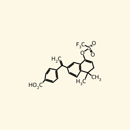 C=C(c1ccc(C(=O)O)cc1)c1ccc2c(c1)C(OS(=O)(=O)C(F)(F)F)=CCC2(C)C